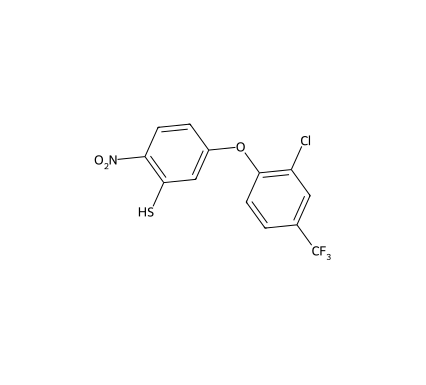 O=[N+]([O-])c1ccc(Oc2ccc(C(F)(F)F)cc2Cl)cc1S